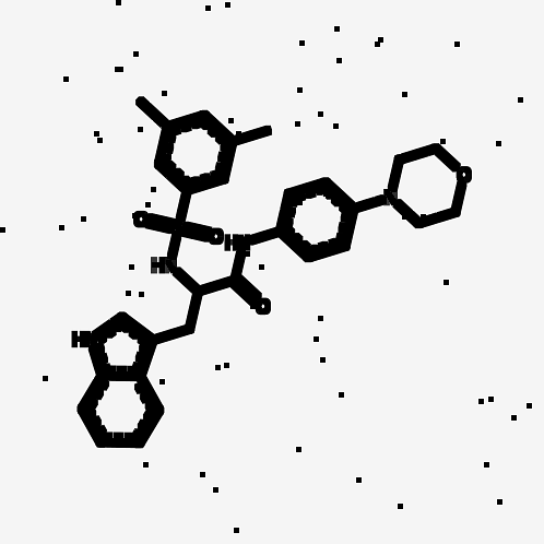 Cc1cc(C)cc(S(=O)(=O)NC(Cc2c[nH]c3ccccc23)C(=O)Nc2ccc(N3CCOCC3)cc2)c1